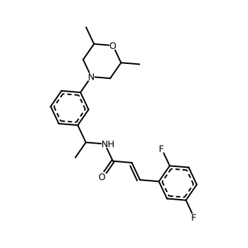 CC1CN(c2cccc(C(C)NC(=O)C=Cc3cc(F)ccc3F)c2)CC(C)O1